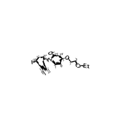 CCOCCOc1ccn(-c2ccc(F)cc2)c(=O)c1